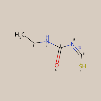 CCNC(=O)/N=C\S